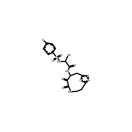 CC(C)C(NS(=O)(=O)c1ccc(F)cc1)C(=O)NC1Cc2nnc(o2)CCNC(=O)C1=O